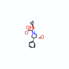 O=C[C@H]1CN([C@H](CC2CC2)C(=O)O)C[C@@H]1c1ccccc1